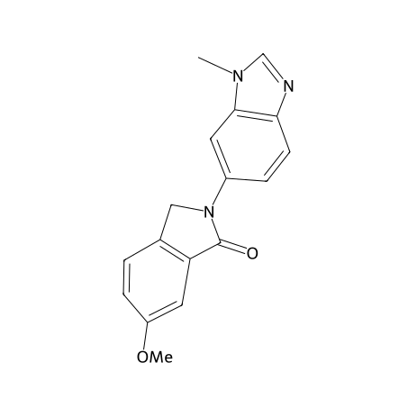 COc1ccc2c(c1)C(=O)N(c1ccc3ncn(C)c3c1)C2